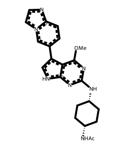 COc1nc(N[C@H]2CC[C@@H](NC(C)=O)CC2)nc2[nH]cc(-c3ccc4nccn4c3)c12